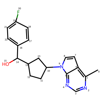 Cc1ncnc2c1ccn2C1CCC(C(O)c2ccc(F)cc2)C1